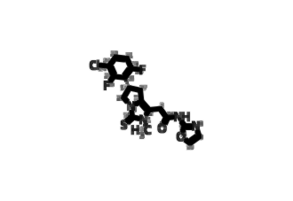 Cn1c(CC(=O)Nc2ncco2)c2n(c1=S)C[C@H](c1c(F)ccc(Cl)c1F)C2